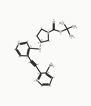 CC(C)(C)OC(=O)N1CC[C@@H](Oc2cnccc2C#Cc2ncccc2N)C1